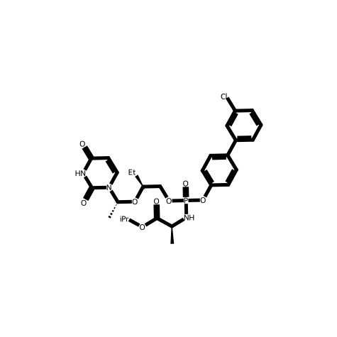 CC[C@@H](COP(=O)(N[C@@H](C)C(=O)OC(C)C)Oc1ccc(-c2cccc(Cl)c2)cc1)O[C@H](C)n1ccc(=O)[nH]c1=O